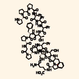 CC[C@H](C)[C@H](NC(=O)[C@@H]1CCCN1C(=O)CNC(=O)[C@@H]1CCCN1C(=O)[C@H](Cc1ccccc1)NC(=O)[C@@H](NC(=O)[C@@H](NC(=O)[C@@H](NC(=O)[C@@H](NC(=O)[C@@H]1CCCN1C(=O)[C@@H]1CCCN1C(=O)[C@@H]1CCCN1)C(C)C)C(C)C)C(C)C)[C@@H](C)O)C(=O)N[C@@H](CC(C)C)C(=O)N[C@@H](CO)C(=O)N[C@@H](CO)C(=O)N[C@@H](Cc1ccccc1)C(=O)N1CCC[C@H]1C(=O)N[C@@H](CCC(N)=O)C(=O)O